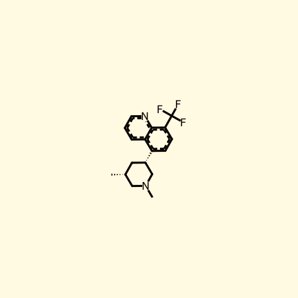 C[C@@H]1C[C@H](c2ccc(C(F)(F)F)c3ncccc23)CN(C)C1